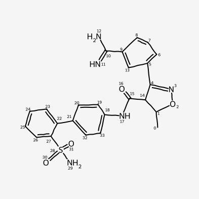 CC1ON=C(c2cccc(C(=N)N)c2)C1C(=O)Nc1ccc(-c2ccccc2S(N)(=O)=O)cc1